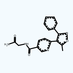 Cc1onc(-c2ccccc2)c1-c1ccc(C(=O)NCC(N)=O)cn1